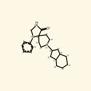 O=C1NCN(c2ccccc2)C12CCN(C1CC3CCCCC3C1)CC2